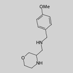 COc1ccc(CNCC2COCCN2)cc1